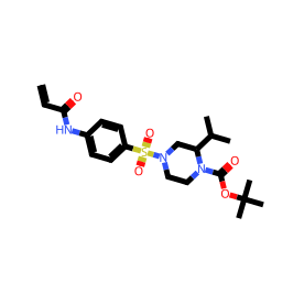 C=CC(=O)Nc1ccc(S(=O)(=O)N2CCN(C(=O)OC(C)(C)C)C(C(C)C)C2)cc1